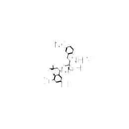 CCc1cc(Br)c2c(c1)[C@@H](NC[C@H](O)[C@H](Cc1cccc(C#N)c1)NC(C)=O)CC(C)(C)O2